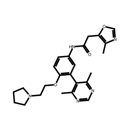 Cc1ncoc1CC(=O)Nc1ccc(OCCN2CCCC2)c(-c2c(C)ncnc2C)c1